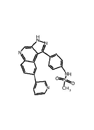 CS(=O)(=O)Nc1ccc(-c2n[nH]c3cnc4ccc(-c5cccnc5)cc4c23)cc1